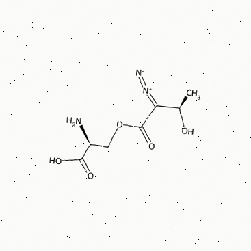 C[C@@H](O)C(=[N+]=[N-])C(=O)OC[C@H](N)C(=O)O